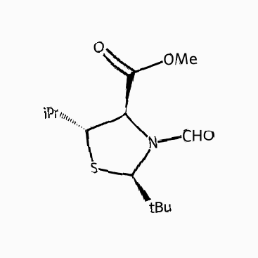 COC(=O)[C@@H]1[C@@H](C(C)C)S[C@H](C(C)(C)C)N1C=O